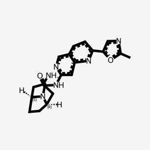 Cc1ncc(-c2ccc3cnc(NC(=O)N4[C@@H]5CC[C@H]4CC(N)C5)cc3n2)o1